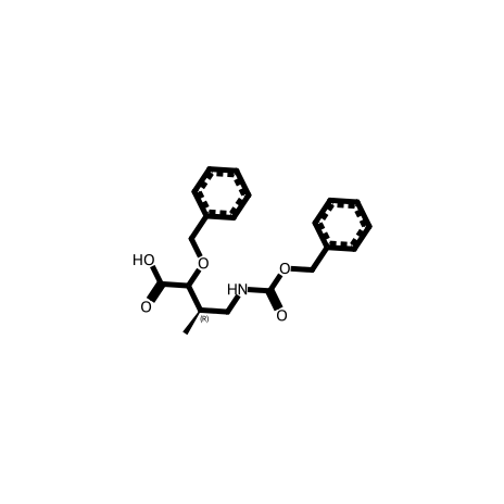 C[C@H](CNC(=O)OCc1ccccc1)C(OCc1ccccc1)C(=O)O